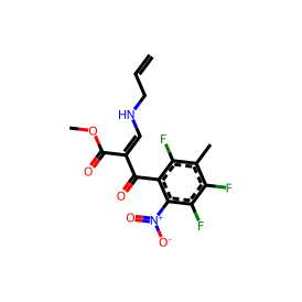 C=CCNC=C(C(=O)OC)C(=O)c1c(F)c(C)c(F)c(F)c1[N+](=O)[O-]